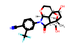 C[C@@]12C[C@H](O)[C@]3(CCO[C@H]4[C@@H]3[C@]1(CO)C(=O)N4c1ccc(C#N)c(C(F)(F)F)c1)O2